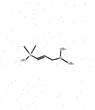 CCCCN(CC=C[Si](C)(C)CCC)CCCC